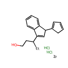 CCC(CCO)C1=CC(C2=CC=CC2)c2ccccc21.Cl.Cl.[Zr]